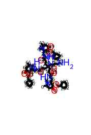 Cc1cc(=O)c(OCc2ccccc2)c(CNC(=O)CCC(CCC(=O)NCc2c(OCc3ccccc3)c(=O)cc(C)n2C)(CCC(=O)NCc2c(OCc3ccccc3)c(=O)cc(C)n2C)NC(=O)CCN)n1C